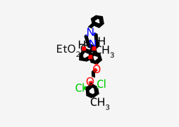 CCOC(=O)C1=C(c2ccc(OCCOc3c(Cl)cc(C)cc3Cl)cc2)C[C@@H]2CN(Cc3ccccc3)C[C@H]1N2[C@@H](C)c1ccccc1